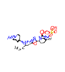 CC(Cc1nnc([C@@H]2CC[C@@H]3CN2C(=O)N3OS(=O)(=O)O)o1)NC1CCNCC1